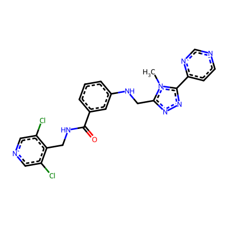 Cn1c(CNc2cccc(C(=O)NCc3c(Cl)cncc3Cl)c2)nnc1-c1ccncn1